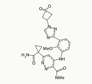 CNC(=O)c1nnc(C2(C(N)=O)CC2)cc1Nc1cccc(-c2ncn(C3CS(=O)(=O)C3)n2)c1OC